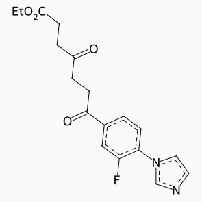 CCOC(=O)CCC(=O)CCC(=O)c1ccc(-n2ccnc2)c(F)c1